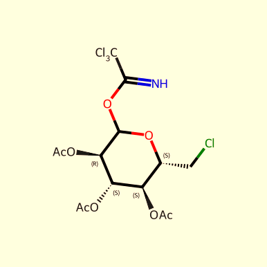 CC(=O)O[C@H]1[C@H](OC(C)=O)[C@@H](OC(C)=O)C(OC(=N)C(Cl)(Cl)Cl)O[C@@H]1CCl